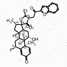 CCC(=O)O[C@]1(C(=O)SCC(=O)c2cc3ccccc3o2)[C@H](C)C[C@H]2[C@@H]3C[C@H](F)C4=CC(=O)C=C[C@]4(C)[C@@]3(F)[C@@H](O)C[C@@]21C